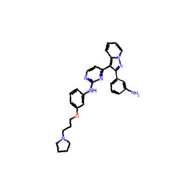 Nc1cccc(-c2nn3ccccc3c2-c2ccnc(Nc3cccc(OCCCN4CCCC4)c3)n2)c1